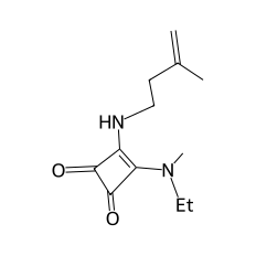 C=C(C)CCNc1c(N(C)CC)c(=O)c1=O